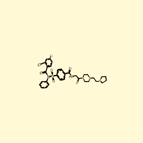 O=C(NCC(=O)N1CCN(CCN2CCCC2)CC1)c1ccc(S(=O)(=O)N(C(=O)c2ccc(Cl)cc2Cl)c2ccccc2)cc1